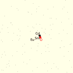 [Eu].[O]=[Gd].[Sm]